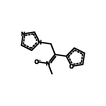 C[N+]([O-])=C(Cn1ccnc1)c1ccco1